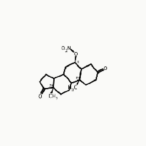 C[C@]12CCC(=O)CC1[C@H](O[N+](=O)[O-])CC1C2CC[C@]2(C)C(=O)CCC12